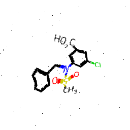 CS(=O)(=O)N(Cc1ccccc1)c1cc(Cl)cc(C(=O)O)c1